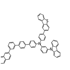 c1cc(-c2ccc(-c3ccc(N(c4ccc(-c5ccc6sc7ccccc7c6c5)cc4)c4cccc(-n5c6ccccc6c6ccccc65)c4)cc3)cc2)cc(-c2ccc3ccccc3c2)c1